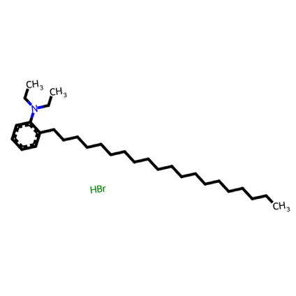 Br.CCCCCCCCCCCCCCCCCCCCc1ccccc1N(CC)CC